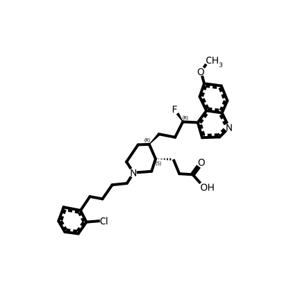 COc1ccc2nccc([C@H](F)CC[C@@H]3CCN(CCCCc4ccccc4Cl)C[C@H]3CCC(=O)O)c2c1